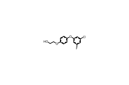 OCCOc1ccc(Oc2cc(F)cc(Cl)c2)cc1